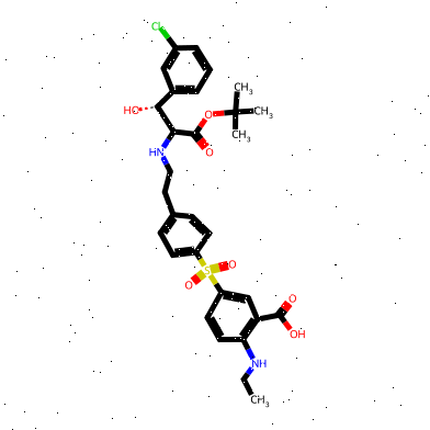 CCNc1ccc(S(=O)(=O)c2ccc(CCNC(C(=O)OC(C)(C)C)[C@H](O)c3cccc(Cl)c3)cc2)cc1C(=O)O